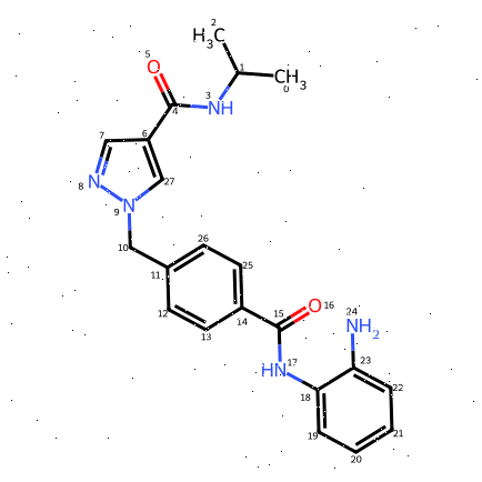 CC(C)NC(=O)c1cnn(Cc2ccc(C(=O)Nc3ccccc3N)cc2)c1